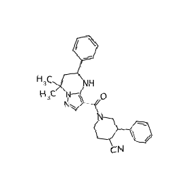 CC1(C)CC(c2ccccc2)Nc2c(C(=O)N3CCC(C#N)C(c4ccccc4)C3)cnn21